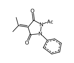 CC(=O)N1C(=O)C(=C(C)C)C(=O)N1c1ccccc1